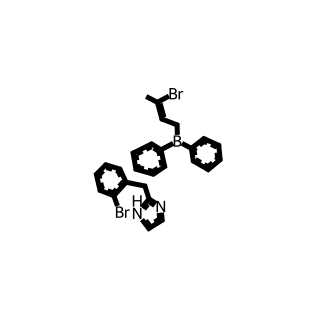 Brc1ccccc1Cc1ncc[nH]1.CC(Br)=CCB(c1ccccc1)c1ccccc1